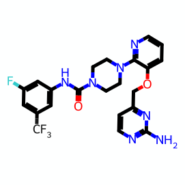 Nc1nccc(COc2cccnc2N2CCN(C(=O)Nc3cc(F)cc(C(F)(F)F)c3)CC2)n1